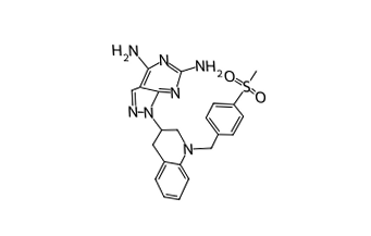 CS(=O)(=O)c1ccc(CN2CC(n3ncc4c(N)nc(N)nc43)Cc3ccccc32)cc1